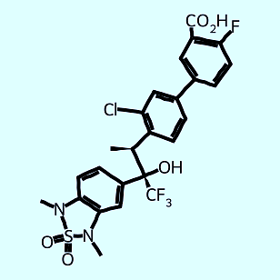 C[C@@H](c1ccc(-c2ccc(F)c(C(=O)O)c2)cc1Cl)[C@](O)(c1ccc2c(c1)N(C)S(=O)(=O)N2C)C(F)(F)F